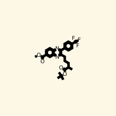 COC(=O)c1ccc2nc(-c3ccc(C(F)(F)F)cc3)c(CCCC(C)C(=O)OC(C)(C)C)nc2c1